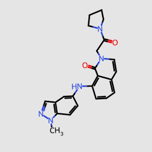 Cn1ncc2cc(Nc3cccc4ccn(CC(=O)N5CCCC5)c(=O)c34)ccc21